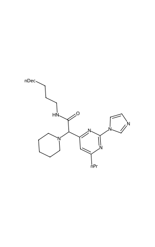 CCCCCCCCCCCCCNC(=O)C(c1cc(CCC)nc(-n2ccnc2)n1)N1CCCCC1